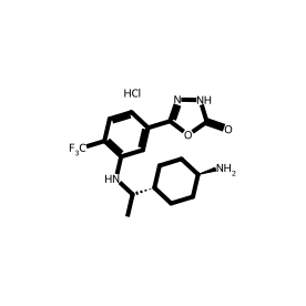 CC(Nc1cc(-c2n[nH]c(=O)o2)ccc1C(F)(F)F)[C@H]1CC[C@H](N)CC1.Cl